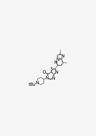 Cc1cn2nc(-c3nc4ncn(C5CCN(C(C)(C)C)CC5)c(=O)c4s3)cc(C)c2n1